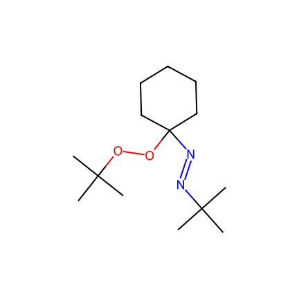 CC(C)(C)/N=N/C1(OOC(C)(C)C)CCCCC1